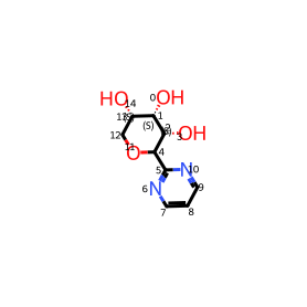 O[C@@H]1[C@H](O)C(c2ncccn2)OC[C@@H]1O